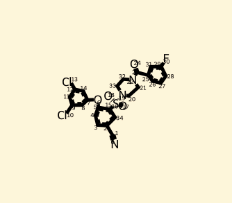 N#Cc1ccc(Oc2cc(Cl)cc(Cl)c2)c(S(=O)(=O)N2CCN(C(=O)c3cccc(F)c3)CC2)c1